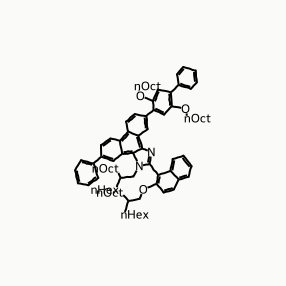 CCCCCCCCOc1cc(-c2ccc3c4ccc(-c5ccccc5)cc4c4c(nc(-c5c(OCC(CCCCCC)CCCCCCCC)ccc6ccccc56)n4CC(CCCCCC)CCCCCCCC)c3c2)c(OCCCCCCCC)cc1-c1ccccc1